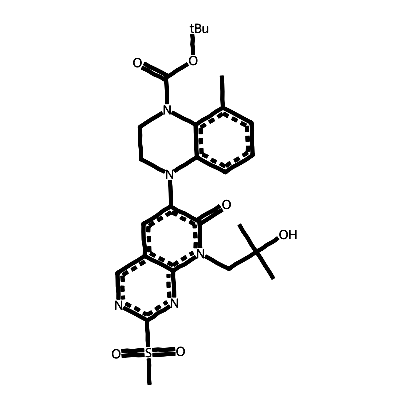 Cc1cccc2c1N(C(=O)OC(C)(C)C)CCN2c1cc2cnc(S(C)(=O)=O)nc2n(CC(C)(C)O)c1=O